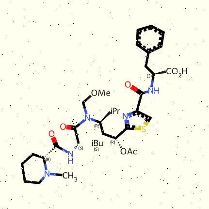 CC[C@H](C)[C@H](NC(=O)[C@H]1CCCCN1C)C(=O)N(COC)[C@H](C[C@@H](OC(C)=O)c1nc(C(=O)N[C@@H](Cc2ccccc2)C(=O)O)cs1)C(C)C